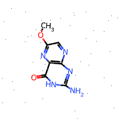 COc1cnc2nc(N)[nH]c(=O)c2n1